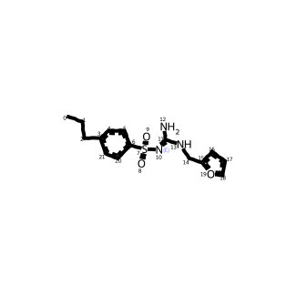 CCCc1ccc(S(=O)(=O)/N=C(\N)NCc2ccco2)cc1